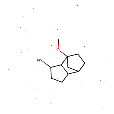 COC12CCC(C1)C1CCC(S)C12